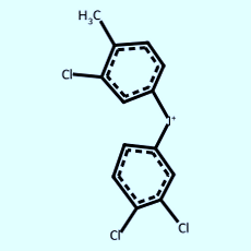 Cc1ccc([I+]c2ccc(Cl)c(Cl)c2)cc1Cl